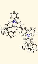 CC1(C)c2ccccc2-c2cc(-n3c4ccccc4c4cc(-c5ccc6c(c5)c5c7c(ccc5n6-c5ccccc5)C(C)(C)c5ccccc5-7)ccc43)ccc21